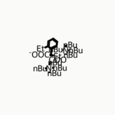 CCCC[N+](CCCC)(CCCC)CCCC.CCCC[N+](CCCC)(CCCC)CCCC.CCc1ccccc1C(CC)(C(=O)[O-])C(=O)[O-]